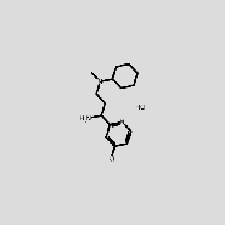 CN(CCC(N)c1cc(Cl)ccn1)C1CCCCC1.Cl